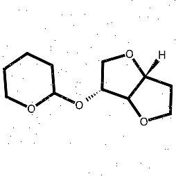 C1CCC(O[C@@H]2CO[C@@H]3CCOC32)OC1